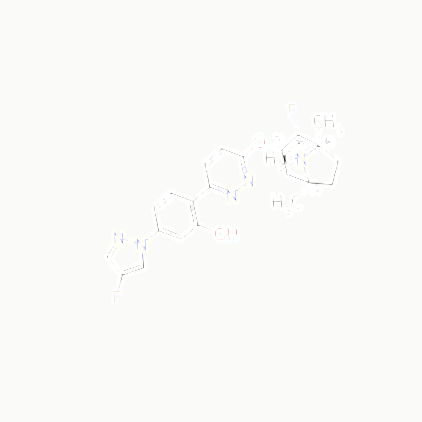 CN1[C@@]2(C)CC[C@]1(C)[C@@H](F)[C@@H](Oc1ccc(-c3ccc(-n4cc(F)cn4)cc3O)nn1)C2